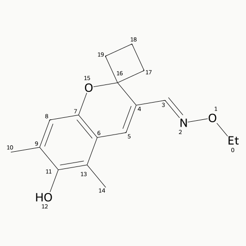 CCON=CC1=Cc2c(cc(C)c(O)c2C)OC12CCC2